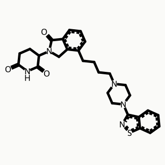 O=C1CCC(N2Cc3c(CCCCN4CCN(c5nsc6ccccc56)CC4)cccc3C2=O)C(=O)N1